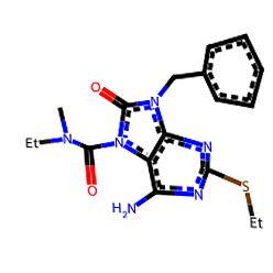 CCSc1nc(N)c2c(n1)n(Cc1ccccc1)c(=O)n2C(=O)N(C)CC